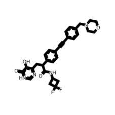 O=C(NC1CC(F)(F)C1)C(Cc1nc[nH]c(=O)c1O)c1ccc(C#Cc2ccc(CN3CCOCC3)cc2)cc1